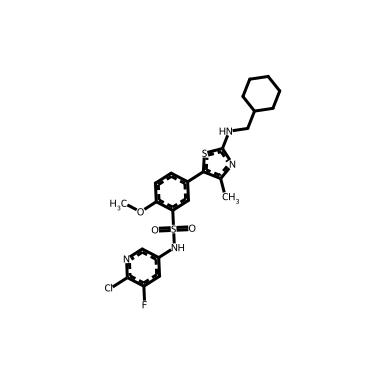 COc1ccc(-c2sc(NCC3CCCCC3)nc2C)cc1S(=O)(=O)Nc1cnc(Cl)c(F)c1